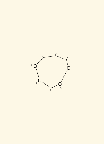 C1COOCOOC1